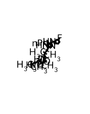 CCCNc1nc(Nc2cccc(F)c2)ncc1C#CC(C)(C)CCNC(=O)[C@H](C)N(C)C(=O)/C=C/CN(C)C